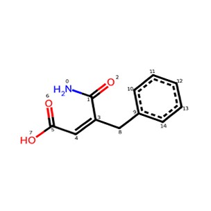 NC(=O)/C(=C\C(=O)O)Cc1ccccc1